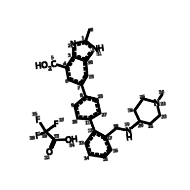 Cc1nc2c(C(=O)O)cc(-c3ccc(-c4ccccc4CNC4CCN(C)CC4)cc3)cc2[nH]1.O=C(O)C(F)(F)F